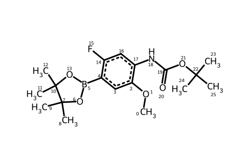 COc1cc(B2OC(C)(C)C(C)(C)O2)c(F)cc1NC(=O)OC(C)(C)C